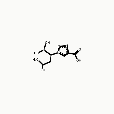 CC(C)C[C@@H](B(O)O)n1cc(C(=O)O)nn1